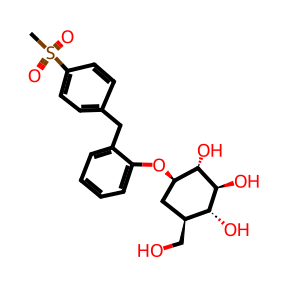 CS(=O)(=O)c1ccc(Cc2ccccc2O[C@@H]2C[C@H](CO)[C@@H](O)[C@H](O)[C@H]2O)cc1